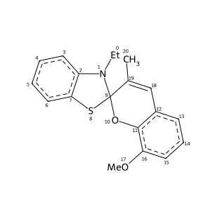 CCN1c2ccccc2SC12Oc1c(cccc1OC)C=C2C